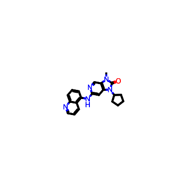 Cn1c(=O)n(C2CCCC2)c2cc(Nc3cccc4ncccc34)ncc21